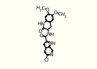 COc1cc2c(cc1OC)NC(=O)C(NC(=O)c1cc3cc(Cl)ncc3[nH]1)C2